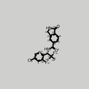 O=C(N[C@H](c1ncc(Cl)cc1F)C(F)(F)F)c1ccc2c(c1)CNC2=O